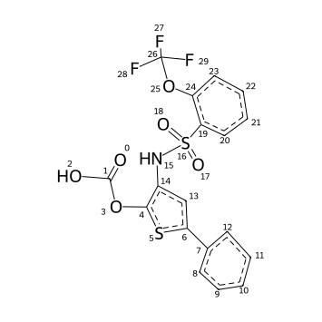 O=C(O)Oc1sc(-c2ccccc2)cc1NS(=O)(=O)c1ccccc1OC(F)(F)F